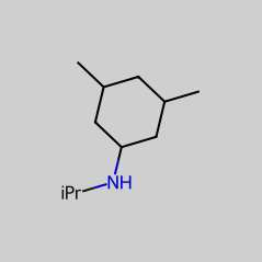 CC1CC(C)CC(NC(C)C)C1